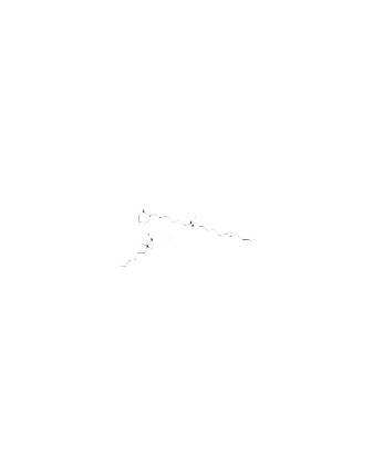 CCCCCCCCCCOC(=O)CCCCCCC1C(=O)CCC1SCC(O)C(C)(C)CCCCCC